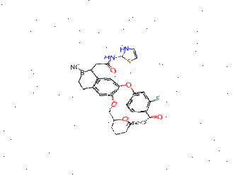 COC(=O)c1ccc(Oc2cc3c(cc2OCC2CCCCO2)CCB(C#N)C3CC(=O)NC2NC=CS2)cc1F